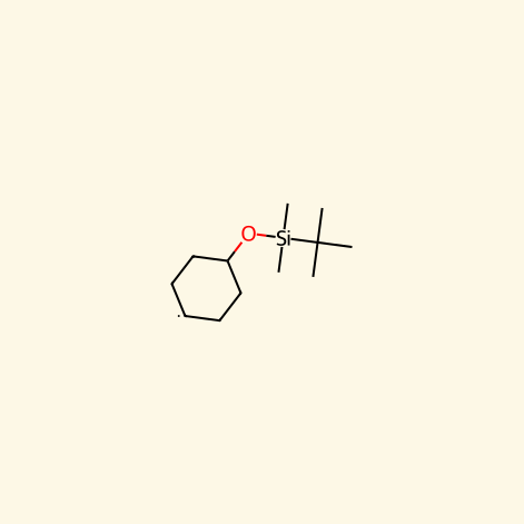 CC(C)(C)[Si](C)(C)OC1CC[CH]CC1